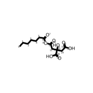 CCCCCCC(=O)OC(=O)CC(O)(CC(=O)O)C(=O)O